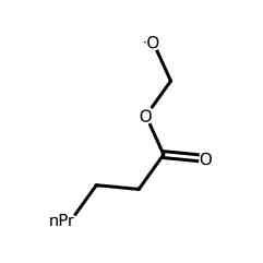 CCCCCC(=O)OC[O]